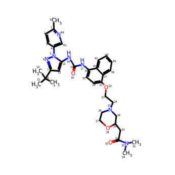 Cc1ccc(-n2nc(C(C)(C)C)cc2NC(=O)Nc2ccc(OCCN3CCOC(CC(=O)N(C)C)C3)c3ccccc23)cn1